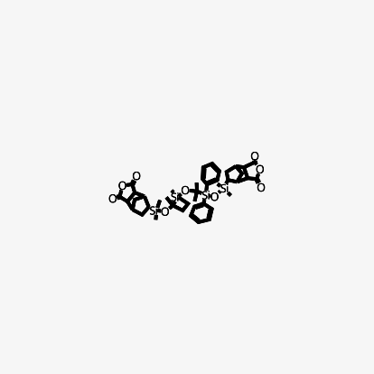 CC1(O[Si](C)(C)C2CC3CC2C2C(=O)OC(=O)C32)CC[Si]1(C)OC(C)(C)[Si](O[Si](C)(C)C1CC2CC1C1C(=O)OC(=O)C21)(c1ccccc1)c1ccccc1